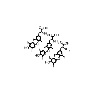 NC(Cc1cc(I)c(Oc2cc(I)c(O)c(I)c2)c(I)c1)C(=O)O.NC(Cc1cc(I)c(Oc2cc(I)c(O)c(I)c2)c(I)c1)C(=O)O.NC(Cc1cc(I)c(Oc2cc(I)c(O)c(I)c2)c(I)c1)C(=O)O